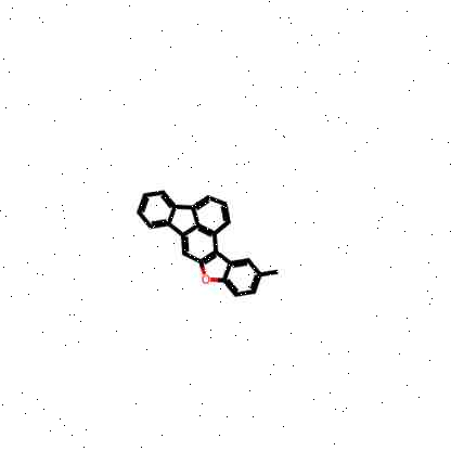 Cc1ccc2oc3cc4c5c(cccc5c3c2c1)-c1ccccc1-4